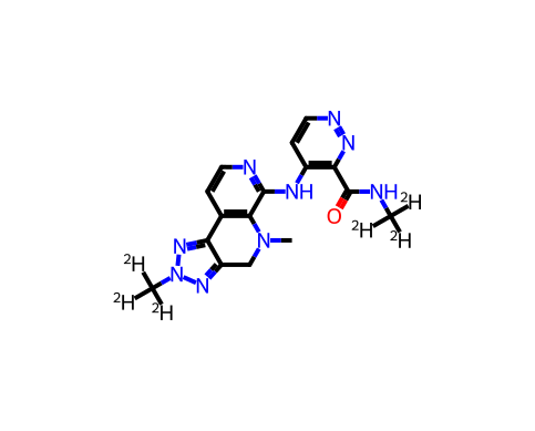 [2H]C([2H])([2H])NC(=O)c1nnccc1Nc1nccc2c1N(C)Cc1nn(C([2H])([2H])[2H])nc1-2